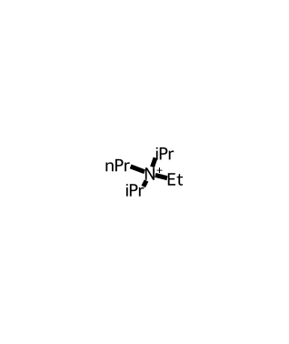 CCC[N+](CC)(C(C)C)C(C)C